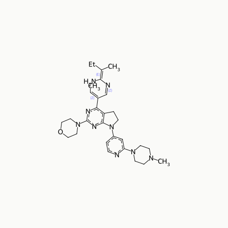 C\C=C(/C=N\C(N)=C(/C)CC)c1nc(N2CCOCC2)nc2c1CCN2c1ccnc(N2CCN(C)CC2)c1